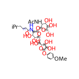 COc1ccc(O[C@@H]2OC([C@H](O)C[C@H]3O[C@@H](O[C@H]4O[C@@H](CO)[C@@H](O)C(O)C4NC(C)=O)[C@H](NC(=O)/C=C/CC(C)C)C(O)C3O)[C@@H](O)[C@H]2O)cc1